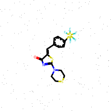 O=C1N=C(N2CCSCC2)SC1=Cc1ccc(S(F)(F)(F)(F)F)cc1